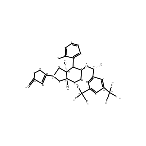 Cc1ccccc1C1[C@@H](O[C@H](C)c2cc(C(F)(F)F)cc(C(F)(F)F)c2)CC[C@@H]2CN(C3=CC(=O)CC3)C[C@@H]12